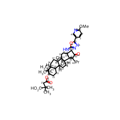 COc1ccc(-c2nnc(N[C@@]34CC[C@]5(C)[C@H](CC[C@@H]6[C@@]7(C)CC[C@H](OC(=O)CC(C)(C)C(=O)O)C(C)(C)[C@@H]7CC[C@]65C)C3=C(C(C)C)C(=O)C4)o2)cn1